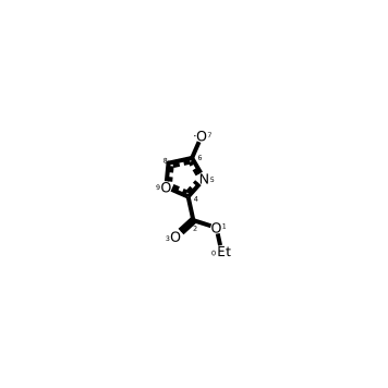 CCOC(=O)c1nc([O])co1